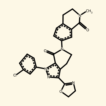 CN1CCc2ccc(N3CCc4c(C5=NCCO5)nn(-c5cccc(Cl)c5)c4C3=O)cc2C1=O